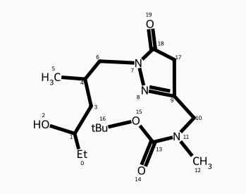 CCC(O)CC(C)CN1N=C(CN(C)C(=O)OC(C)(C)C)CC1=O